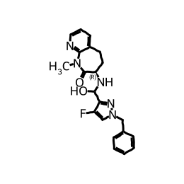 CN1C(=O)[C@H](NC(O)c2nn(Cc3ccccc3)cc2F)CCc2cccnc21